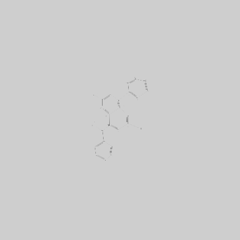 OC(c1ccccc1)c1cc(Br)cc2c(-c3ccccc3)cc(Cl)nc12